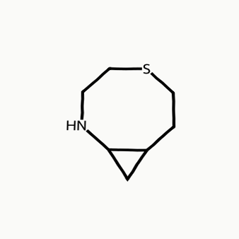 C1CSCCC2CC2N1